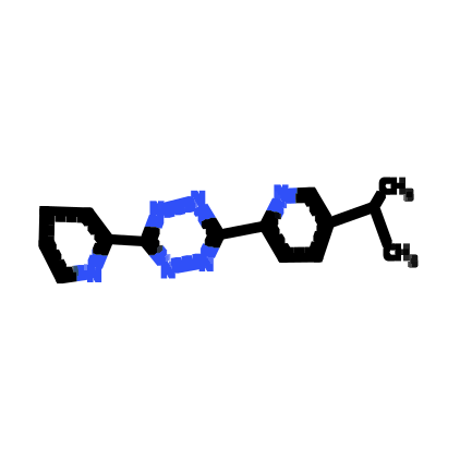 CC(C)c1ccc(-c2nnc(-c3ccccn3)nn2)nc1